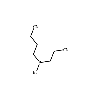 CCP(CCC#N)CCCC#N